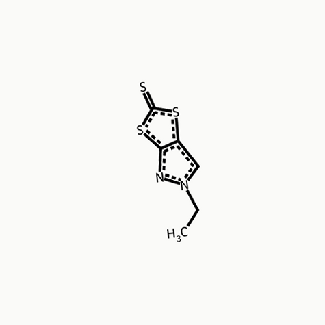 CCn1cc2sc(=S)sc2n1